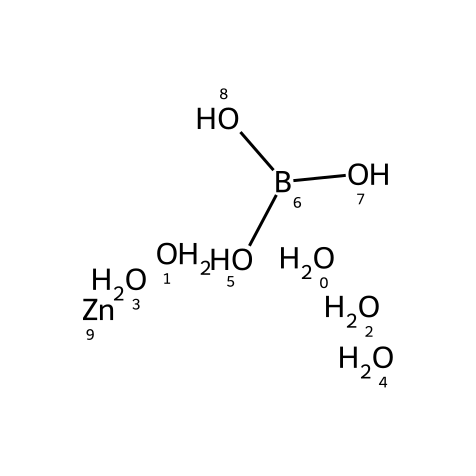 O.O.O.O.O.OB(O)O.[Zn]